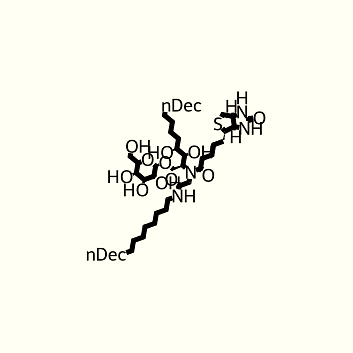 CCCCCCCCCCCCCCCCCCNC(=O)CN(C(=O)CCCC[C@@H]1SC[C@@H]2NC(=O)N[C@@H]21)[C@@H](CO[C@@H]1OC(CO)[C@H](O)[C@H](O)C1O)[C@H](O)[C@H](O)CCCCCCCCCCCCCC